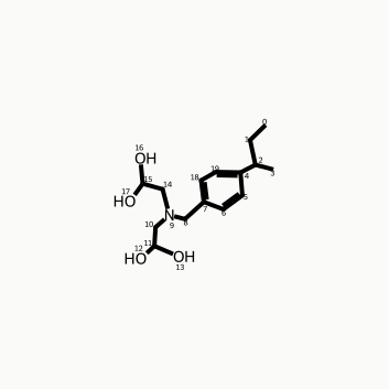 CCC(C)c1ccc(CN(CC(O)O)CC(O)O)cc1